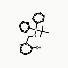 CC(C)(C)[Si](OCc1ncccc1O)(c1ccccc1)c1ccccc1